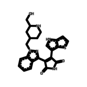 O=C1NC(=O)C(c2c[nH]c3ccsc23)=C1c1nn(CC2CCNC(CO)C2)c2ccccc12